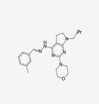 Cc1cccc(/C=N/Nc2nc(N3CCOCC3)nc3c2CCN3CC(C)C)c1